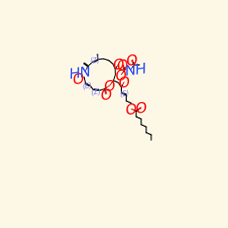 C=C1/C=C(/C)CCC2OC2C(OC(=O)NC(C)=O)C(C2OC2/C=C/CCOC(=O)CCCCCCC)OC(=O)/C=C\C=C\C(=O)N1